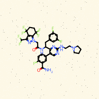 NC(=O)c1cc(-c2cnc(NCCN3CCCC3)nc2C(Cc2cc(F)cc(F)c2)NC(=O)Cn2nc(C(F)F)c3c2C(F)(F)CCC3(F)F)ccc1F